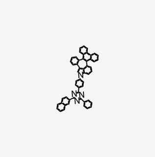 c1ccc(-c2nc(-c3ccc(-n4cc5c6c(cccc64)-c4c(c6ccccc6c6ccccc46)-c4ccccc4-5)cc3)nc(-c3ccc4ccccc4c3)n2)cc1